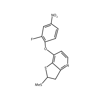 CSC1Cc2nccc(Oc3ccc([N+](=O)[O-])cc3F)c2S1